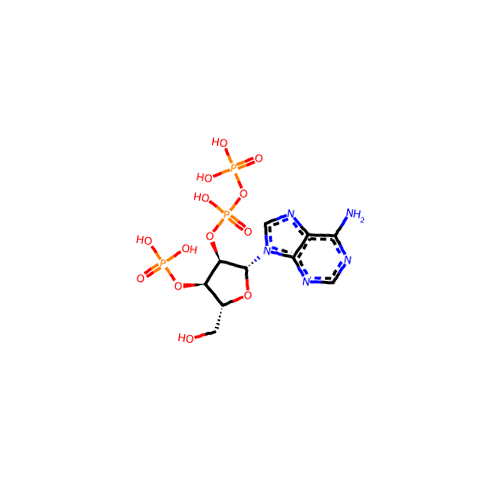 Nc1ncnc2c1ncn2[C@@H]1O[C@H](CO)[C@@H](OP(=O)(O)O)[C@H]1OP(=O)(O)OP(=O)(O)O